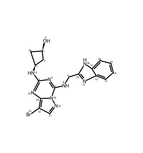 O[C@H]1C[C@@H](Nc2nc(NCc3nc4ccccc4[nH]3)n3ncc(Br)c3n2)C1